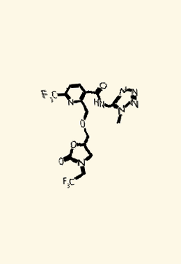 Cn1nnnc1NC(=O)c1ccc(C(F)(F)F)nc1COCC1CN(CC(F)(F)F)C(=O)O1